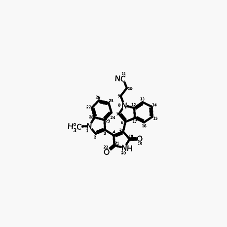 Cn1cc(C2=C(c3cn(CCC#N)c4ccccc34)C(=O)NC2=O)c2ccccc21